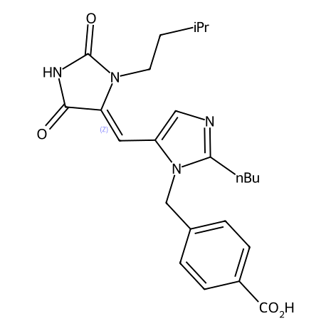 CCCCc1ncc(/C=C2/C(=O)NC(=O)N2CCC(C)C)n1Cc1ccc(C(=O)O)cc1